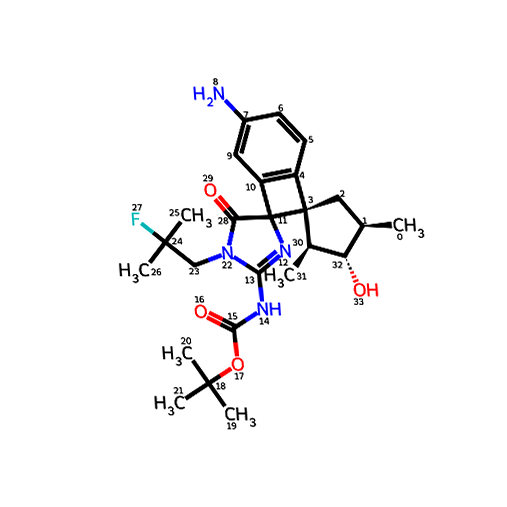 C[C@@H]1C[C@@]2(c3ccc(N)cc3C23N=C(NC(=O)OC(C)(C)C)N(CC(C)(C)F)C3=O)[C@H](C)[C@H]1O